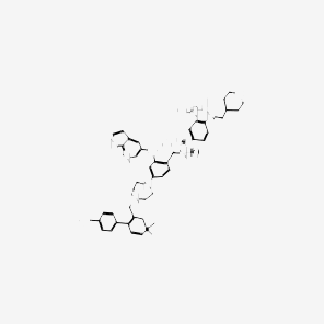 CC1(C)C=CC(c2ccc(Cl)cc2)=C(CN2CCN(c3ccc(C(=O)NS(=O)(=O)c4ccc(NCC5CCOCC5)c([N+](=O)[O-])c4)c(Oc4cnc5[nH]ccc5c4)c3)CC2)C1